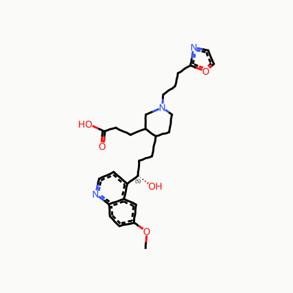 COc1ccc2nccc([C@@H](O)CCC3CCN(CCCc4ncco4)CC3CCC(=O)O)c2c1